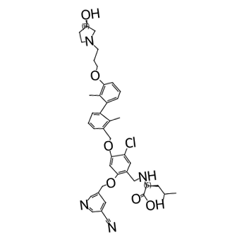 Cc1c(COc2cc(OCc3cncc(C#N)c3)c(CN[C@@H](CC(C)C)C(=O)O)cc2Cl)cccc1-c1cccc(OCCCN2CC[C@@H](O)C2)c1C